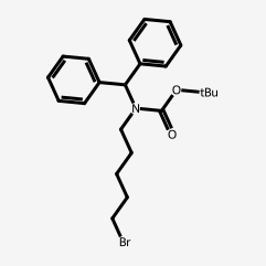 CC(C)(C)OC(=O)N(CCCCCBr)C(c1ccccc1)c1ccccc1